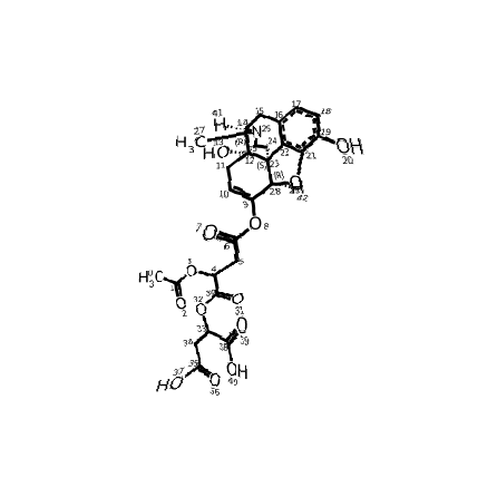 CC(=O)OC(CC(=O)OC1=CC[C@@]2(O)[C@H]3Cc4ccc(O)c5c4[C@@]2(CCN3C)[C@H]1O5)C(=O)OC(CC(=O)O)C(=O)O